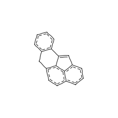 C1=C2c3ccccc3Cc3ccc4cccc1c4c32